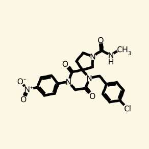 CNC(=O)N1CCC2(C1)C(=O)N(c1ccc([N+](=O)[O-])cc1)CC(=O)N2Cc1ccc(Cl)cc1